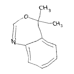 CC1(C)OC=Nc2ccccc21